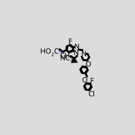 C/C(=C\C(=O)O)c1cc(F)c2nc(CN3CCC(Oc4cccc(COc5ccc(Cl)cc5F)c4)CC3)n(CC3(CC#N)CC3)c2c1